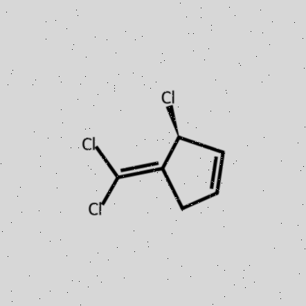 ClC(Cl)=C1CC=C[C@@H]1Cl